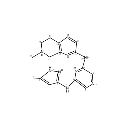 Cc1cc(Nc2cncc(Nc3ccc4c(c3)CN(C)CC4)n2)n[nH]1